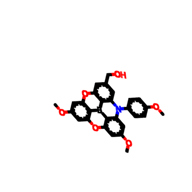 COc1ccc(N2c3cc(CO)cc4c3B3c5c(cc(OC)cc5Oc5cc(OC)cc2c53)O4)cc1